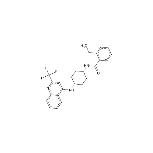 CCc1ccccc1C(=O)N[C@H]1CC[C@@H](Nc2cc(C(F)(F)F)nc3ccccc23)CC1